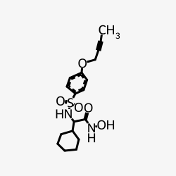 CC#CCOc1ccc(S(=O)(=O)NC(C(=O)NO)C2CCCCC2)cc1